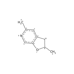 Cc1cc2c(cn1)OC(C)C2